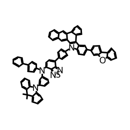 CC1(C)c2ccccc2N(c2cccc(N(c3ccc(-c4ccccc4)cc3)c3ccc(-c4ccc(-n5c6ccc(-c7ccc8c(c7)oc7ccccc78)cc6c6c7ccccc7c7cc8ccccc8cc7c65)cc4)c4nsnc34)c2)c2ccccc21